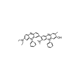 CCN(CC)c1ccc2nc3ccc(-c4cc5nc6cc(C)c(O)cc6[n+](-c6ccccc6)c5cc4N(C)C)cc3[n+](-c3ccccc3)c2c1